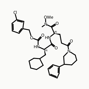 CON(C)C(=O)[C@@H](CCC(=O)N1CCCC(c2ccccc2)C1)NC(=O)[C@@H](CC1CCCCC1)NC(=O)OCc1cccc(Cl)c1